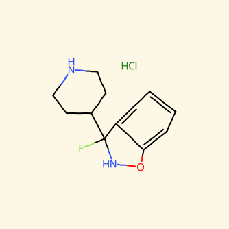 Cl.FC1(C2CCNCC2)NOc2ccccc21